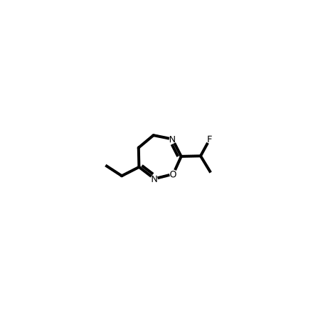 CCC1=NOC(C(C)F)=NCC1